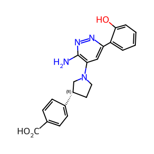 Nc1nnc(-c2ccccc2O)cc1N1CC[C@H](c2ccc(C(=O)O)cc2)C1